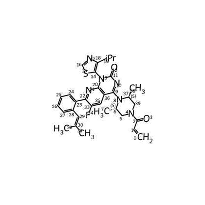 C=CC(=O)N1C[C@H](C)N(c2nc(=O)n(-c3scnc3C(C)C)c3nc(-c4ccccc4C=C(C)C)c(F)cc23)[C@@H](C)C1